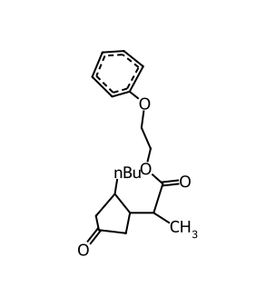 CCCCC1CC(=O)CC1C(C)C(=O)OCCOc1ccccc1